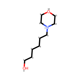 OCCCCCCN1CCOCC1